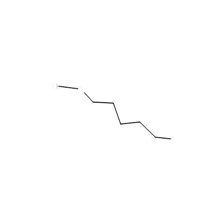 [2H]SCCCCCC